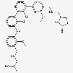 COc1nc(-c2ccnc(-c3cccc(Nc4cccc(CNCC(C)O)c4OC)c3Cl)c2Cl)ccc1CNCC1CCC(=O)N1